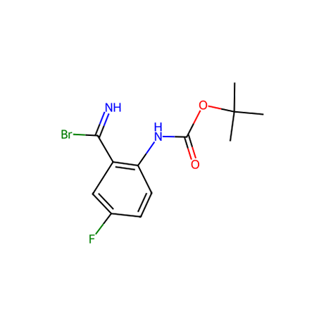 CC(C)(C)OC(=O)Nc1ccc(F)cc1C(=N)Br